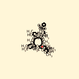 C=C1C[C@@H](C)O[C@@H](O[C@@H]2[C@@H](C)[C@H](O[C@H]3C[C@H](C)N(C)C[C@H](C)O3)[C@@H](C)C(=O)O[C@H]([C@@H](C)CO[C@@H]3O[C@H](C)[C@@H](O)[C@@H](OC)[C@H]3OC)[C@H](C)[C@@H](OC(=O)CC(C)C)[C@@H](C)C(=O)[C@@](C)(OC(=O)NC(C)(C)CNS(=O)(=O)c3ccccc3[N+](=O)[O-])C[C@@H]2C)[C@@H]1O